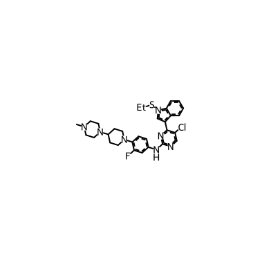 CCSn1cc(-c2nc(Nc3ccc(N4CCC(N5CCN(C)CC5)CC4)c(F)c3)ncc2Cl)c2ccccc21